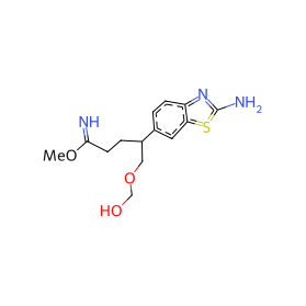 COC(=N)CCC(COCO)c1ccc2nc(N)sc2c1